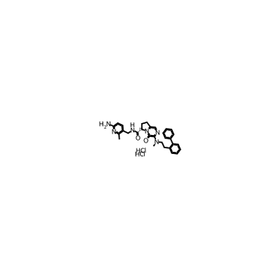 Cc1nc(N)ccc1CNC(=O)[C@@H]1CCc2cnc(N(C)CCc3ccccc3-c3ccccc3)c(=O)n21.Cl.Cl